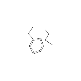 CCCC.CCc1ccccc1